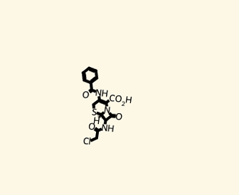 O=C(CCl)NC1C(=O)N2C(C(=O)O)=C(NC(=O)c3ccccc3)CS[C@@H]12